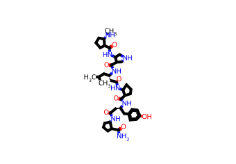 CNC1CCCC1C(=O)NC1CNCC1C(=O)N[C@H](CC(=O)NC1CCCC1C(=O)N[C@H](CC(=O)NC1CCCC1C(N)=O)Cc1ccc(O)cc1)CC(C)C